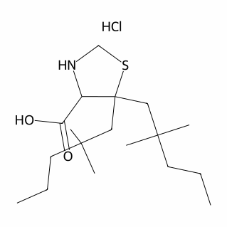 CCCC(C)(C)CC1(CC(C)(C)CCC)SCNC1C(=O)O.Cl